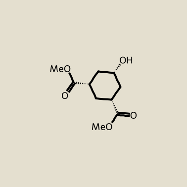 COC(=O)[C@@H]1C[C@H](O)C[C@H](C(=O)OC)C1